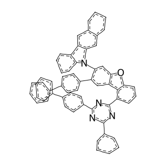 c1ccc(-c2ccc(-c3nc(-c4ccccc4)nc(-c4cccc5oc6cc(-n7c8ccccc8c8cc9ccccc9cc87)c(-c7ccc(-c8ccccc8)cc7)cc6c45)n3)cc2)cc1